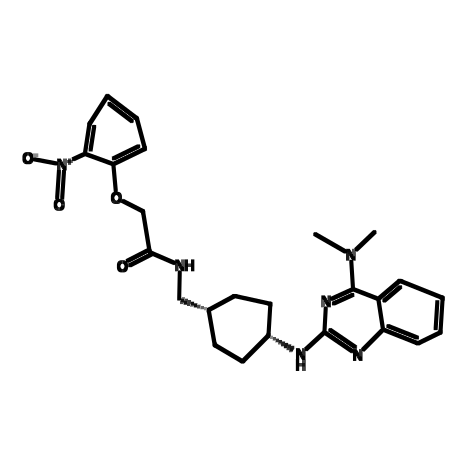 CN(C)c1nc(N[C@H]2CC[C@@H](CNC(=O)COc3ccccc3[N+](=O)[O-])CC2)nc2ccccc12